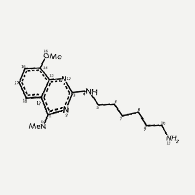 CNc1nc(NCCCCCCN)nc2c(OC)cccc12